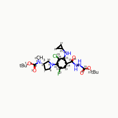 CN(C(=O)OC(C)(C)C)[C@H]1CCN(c2c(F)cc(C(=O)NNC(=O)OC(C)(C)C)c(NC3CC3)c2Cl)C1